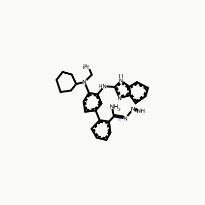 CC(C)CN(c1ccc(-c2ccccc2/C(N)=N/N=N)cc1Nc1nc2ccccc2[nH]1)C1CCCCC1